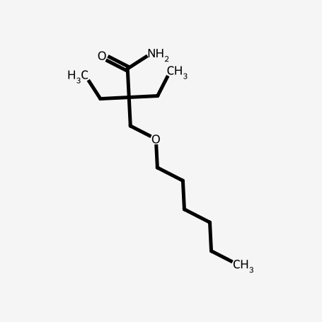 CCCCCCOCC(CC)(CC)C(N)=O